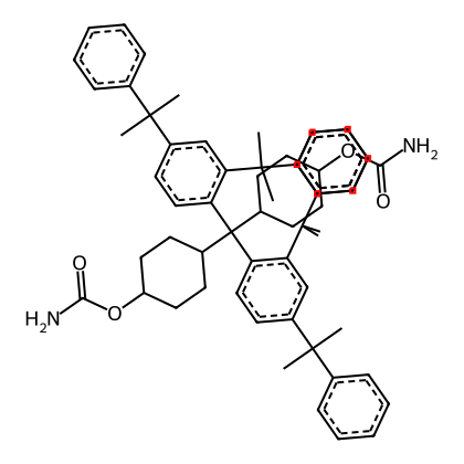 CC(C)(c1ccccc1)c1ccc(C(c2ccc(C(C)(C)c3ccccc3)cc2C(C)(C)c2ccccc2)(C2CCC(OC(N)=O)CC2)C2CCC(OC(N)=O)CC2)c(C(C)(C)c2ccccc2)c1